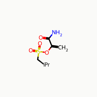 C=C(OS(=O)(=O)CC(C)C)C(N)=O